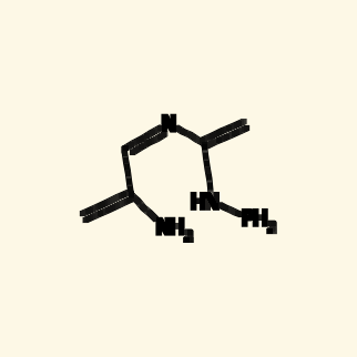 C=C(N)/C=N\C(=C)NP